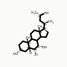 CC[C@H]1[C@@H](O)C2C3CC[C@H]([C@H](C)C[C@H](C)O)[C@@]3(C)CCC2[C@@]2(C)CC[C@@H](O)C[C@@H]12